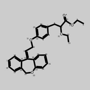 CCOC(=O)C(Cc1ccc(OC/C=C2/c3ccccc3COc3ccccc32)cc1)OCC